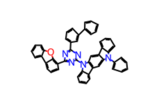 c1ccc(-c2cccc(-c3nc(-c4cccc5c4oc4ccccc45)nc(-n4c5ccccc5c5cc6c(cc54)c4ccccc4n6-c4ccccc4)n3)c2)cc1